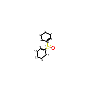 [O-][S+](C1=CCCCC1)C1=CCCCC1